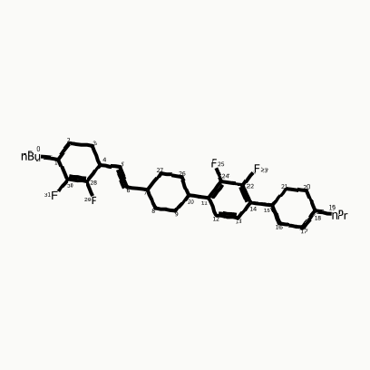 CCCCC1CCC(/C=C/C2CCC(c3ccc(C4CCC(CCC)CC4)c(F)c3F)CC2)C(F)=C1F